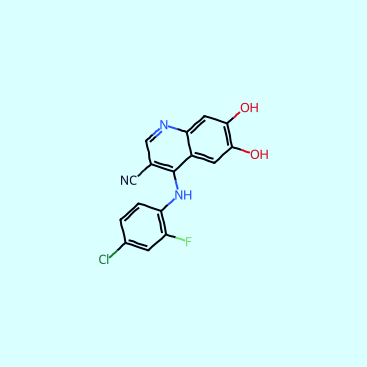 N#Cc1cnc2cc(O)c(O)cc2c1Nc1ccc(Cl)cc1F